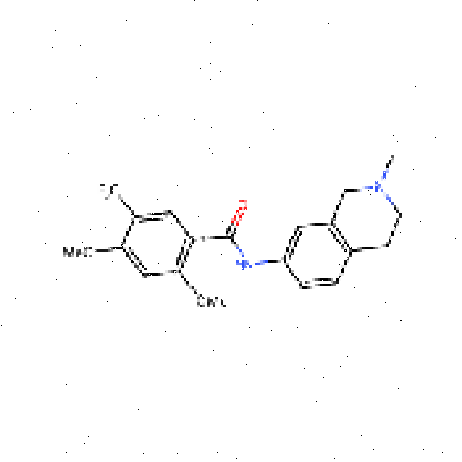 COc1cc(OC)c(C(F)(F)F)cc1C(=O)Nc1ccc2c(c1)CN(C)CC2